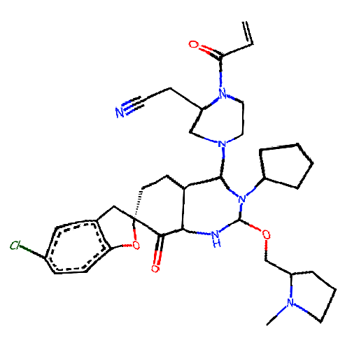 C=CC(=O)N1CCN(C2C3CC[C@]4(Cc5cc(Cl)ccc5O4)C(=O)C3NC(OCC3CCCN3C)N2C2CCCC2)CC1CC#N